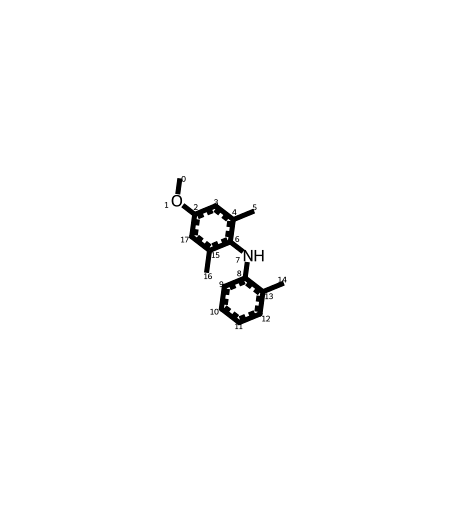 COc1cc(C)c(Nc2ccccc2C)c(C)c1